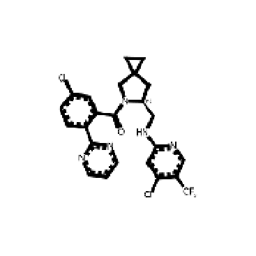 O=C(c1cc(Cl)ccc1-c1ncccn1)N1CC2(CC2)C[C@H]1CNc1cc(Cl)c(C(F)(F)F)cn1